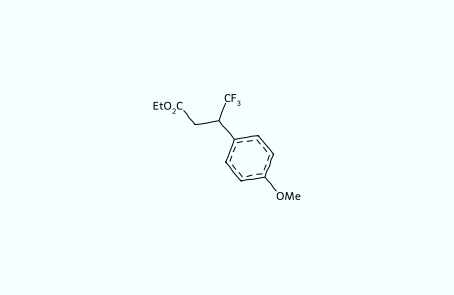 CCOC(=O)CC(c1ccc(OC)cc1)C(F)(F)F